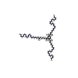 CC/C=C\C/C=C\C/C=C\C/C=C\C/C=C\C/C=C/CCC(=O)CCCCOC(=O)c1cc(NC(=O)CC/C=C/C/C=C\C/C=C\C/C=C\C/C=C\C/C=C\CC)ccc1OC(=O)CC/C=C/C/C=C\C/C=C\C/C=C\C/C=C\C/C=C\CC